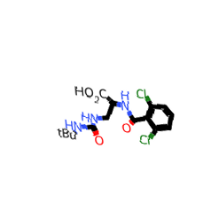 CC(C)(C)NC(=O)NCC(NC(=O)c1c(Cl)cccc1Cl)C(=O)O